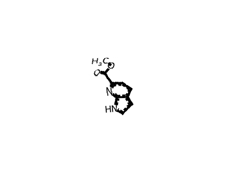 COC(=O)c1ccc2cc[nH]c2n1